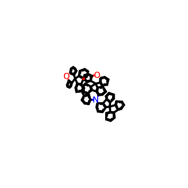 c1cc(-c2ccc3c(c2)-c2ccccc2C32c3ccccc3Oc3ccccc32)cc(N(c2cccc3c2-c2ccccc2C32c3ccccc3Oc3ccccc32)c2cccc3c2-c2ccccc2C32c3ccccc3-c3ccccc32)c1